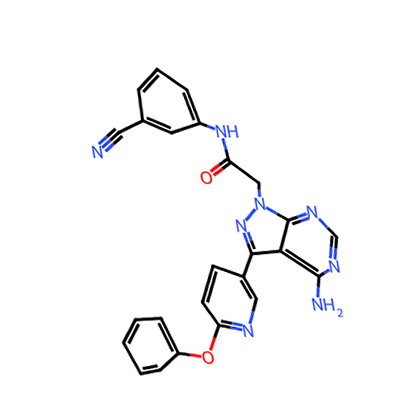 N#Cc1cccc(NC(=O)Cn2nc(-c3ccc(Oc4ccccc4)nc3)c3c(N)ncnc32)c1